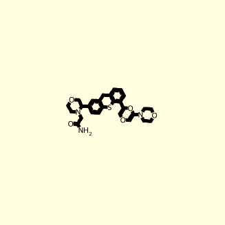 NC(=O)CN1CCOCC1c1ccc2c(c1)Cc1cccc(C3=COC=C(N4CCOCC4)O3)c1S2